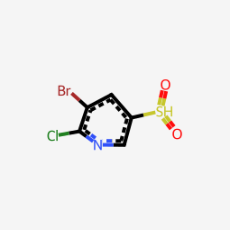 O=[SH](=O)c1cnc(Cl)c(Br)c1